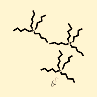 CCCCC[N+](CCCCC)(CCCCC)CCCCC.CCCCC[N+](CCCCC)(CCCCC)CCCCC.CCCCC[N+](CCCCC)(CCCCC)CCCCC.[Br-].[Cl-].[F-]